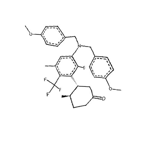 COc1ccc(CN(Cc2ccc(OC)cc2)c2cc(C)c(C(F)(F)F)c([C@@H]3CC(=O)CC[C@H]3C)c2F)cc1